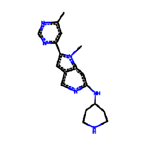 Cc1cc(-c2cc3cnc(NC4CCNCC4)cc3n2C)ncn1